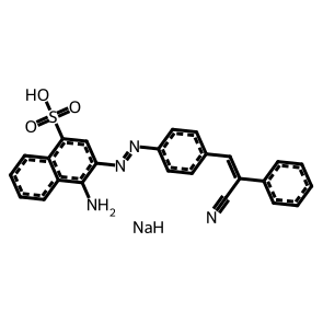 N#CC(=Cc1ccc(N=Nc2cc(S(=O)(=O)O)c3ccccc3c2N)cc1)c1ccccc1.[NaH]